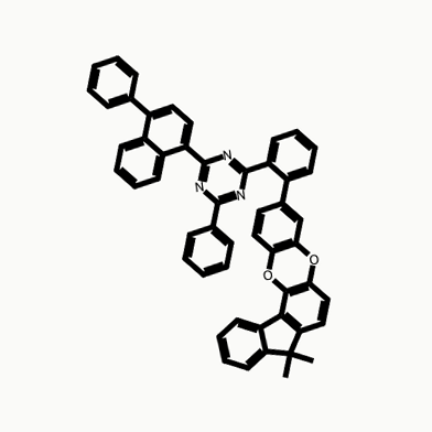 CC1(C)c2ccccc2-c2c1ccc1c2Oc2ccc(-c3ccccc3-c3nc(-c4ccccc4)nc(-c4ccc(-c5ccccc5)c5ccccc45)n3)cc2O1